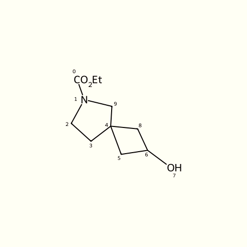 CCOC(=O)N1CCC2(CC(O)C2)C1